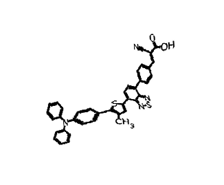 Cc1cc(-c2ccc(-c3ccc(/C=C(\C#N)C(=O)O)cc3)c3nsnc23)sc1-c1ccc(N(c2ccccc2)c2ccccc2)cc1